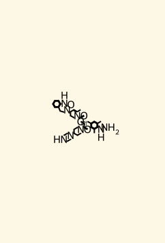 CC1=CC(N2CCc3ccccc3NC2=O)CCN1C(=O)O[C@H](Cc1cc(C)c(NN)c(C)c1)C(=O)N1CCC(N2CCNCC2)CC1